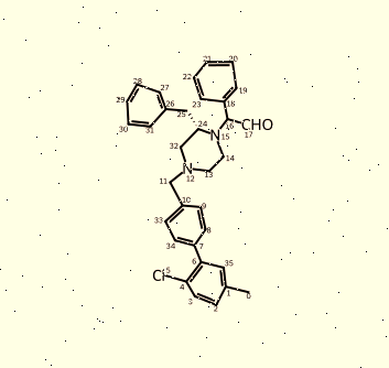 Cc1ccc(Cl)c(-c2ccc(CN3CCN(C(C=O)c4ccccc4)[C@@H](Cc4ccccc4)C3)cc2)c1